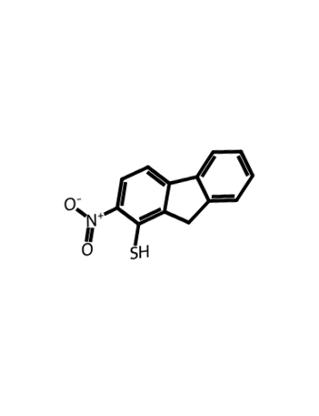 O=[N+]([O-])c1ccc2c(c1S)Cc1ccccc1-2